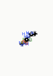 C[C@@H](N)[C@H](CNc1cc(F)c(S(=O)(=O)Nc2ncns2)cc1Cl)CC(N)C1(C)CC1